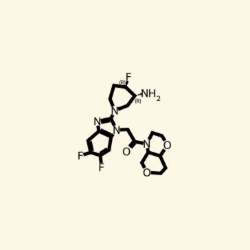 N[C@@H]1CN(c2nc3cc(F)c(F)cc3n2CC(=O)N2CCOC3CCOCC32)CC[C@H]1F